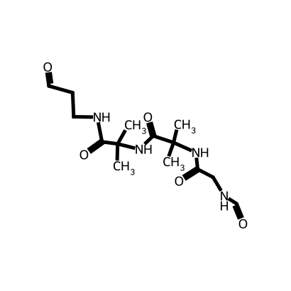 CC(C)(NC(=O)CNC=O)C(=O)NC(C)(C)C(=O)NCCC=O